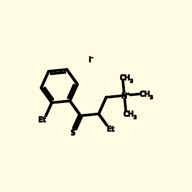 CCc1ccccc1C(=S)C(CC)C[N+](C)(C)C.[I-]